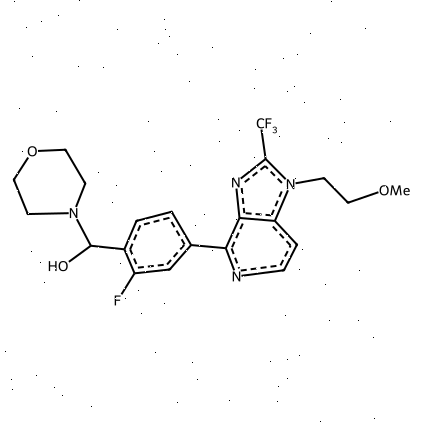 COCCn1c(C(F)(F)F)nc2c(-c3ccc(C(O)N4CCOCC4)c(F)c3)nccc21